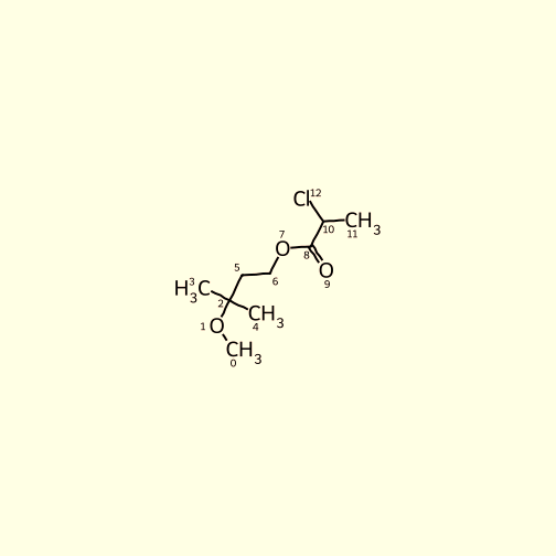 COC(C)(C)CCOC(=O)C(C)Cl